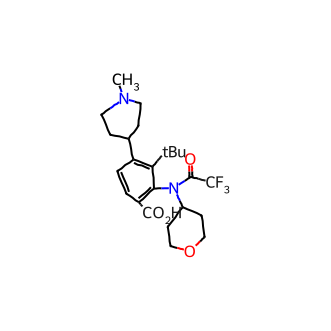 CN1CCC(c2ccc(C(=O)O)c(N(C(=O)C(F)(F)F)C3CCOCC3)c2C(C)(C)C)CC1